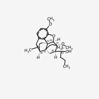 CCC[C@](C)(O)[C@H]1C[C@@]23CC[C@@]1(OC)[C@@H]1Oc4c(OC)ccc5c4[C@@]12CCN(C)[C@@H]3C5